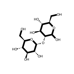 OC[C@H]1O[C@H](O[C@H]2C(O)O[C@H](CO)[C@@H](O)[C@@H]2O)[C@H](O)[C@@H](O)[C@@H]1O